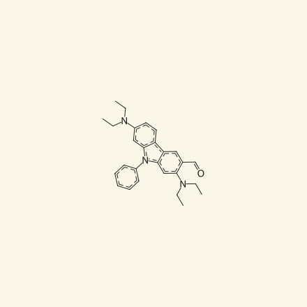 CCN(CC)c1ccc2c3cc(C=O)c(N(CC)CC)cc3n(-c3ccccc3)c2c1